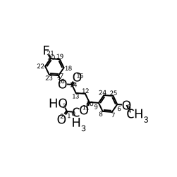 CC(=O)O.COc1ccc(C(=O)CCC(=O)Oc2ccc(F)cc2)cc1